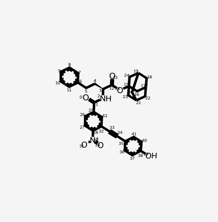 O=C(N[C@@H](CCc1ccccc1)C(=O)OC12CC3CC(CC(C3)C1)C2)c1ccc([N+](=O)[O-])c(C#Cc2ccc(O)cc2)c1